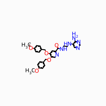 COc1ccc(COc2cnc(C(=O)NCCNc3cncnc3N)cc2OCc2ccc(OC)cc2)cc1